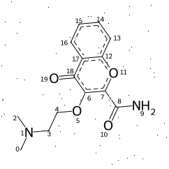 CN(C)CCOc1c(C(N)=O)oc2ccccc2c1=O